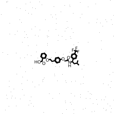 CC(C)CC(NC(=O)COc1ccc(CCOc2ccccc2C(=O)O)cc1)c1ccc(C(F)(F)F)cc1